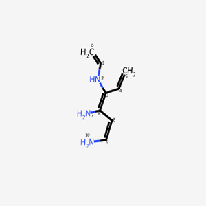 C=CN/C(C=C)=C(N)/C=C\N